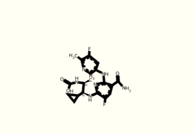 Cc1ncc(Nc2nc(N[C@@H](C3CC3)[C@H](C)NC(=O)O)c(F)cc2C(N)=O)cc1F